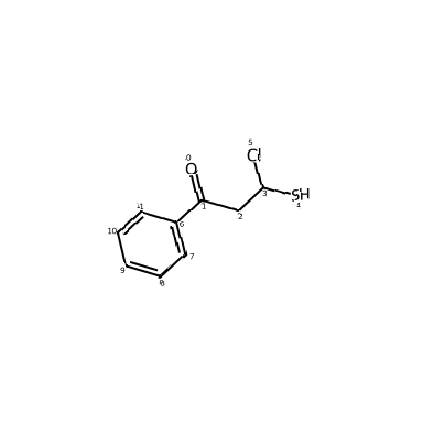 O=C(CC(S)Cl)c1ccccc1